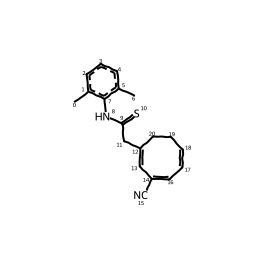 Cc1cccc(C)c1NC(=S)C/C1=C/C(C#N)=C\C=C/CC1